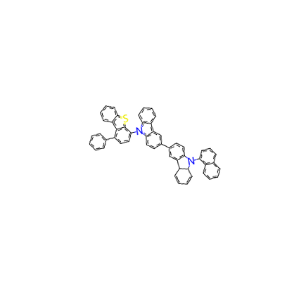 C1=CC2c3cc(-c4ccc5c(c4)c4ccccc4n5-c4ccc(-c5ccccc5)c5c4sc4ccccc45)ccc3N(c3cccc4ccccc34)C2C=C1